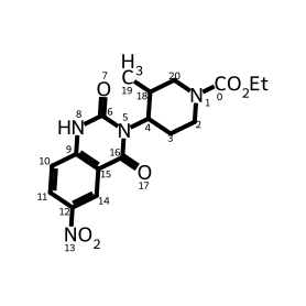 CCOC(=O)N1CCC(n2c(=O)[nH]c3ccc([N+](=O)[O-])cc3c2=O)C(C)C1